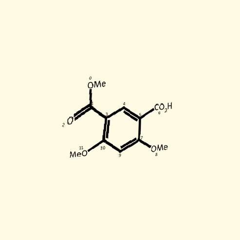 COC(=O)c1cc(C(=O)O)c(OC)cc1OC